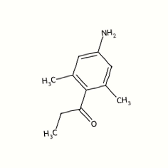 CCC(=O)c1c(C)cc(N)cc1C